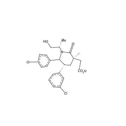 CCC(C)[C@@H](CO)N1C(=O)[C@@](C)(CC(=O)O)C[C@H](c2cccc(Cl)c2)C1c1ccc(Cl)cc1